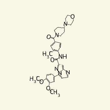 COc1ccc(-c2ccnc3cc(C(=O)Nc4ccc(C(=O)N5CCC(N6CCOCC6)CC5)cc4C)nn23)cc1OC